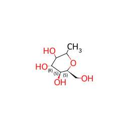 CC1O[C@@H](CO)[C@@H](O)[C@H](O)C1O